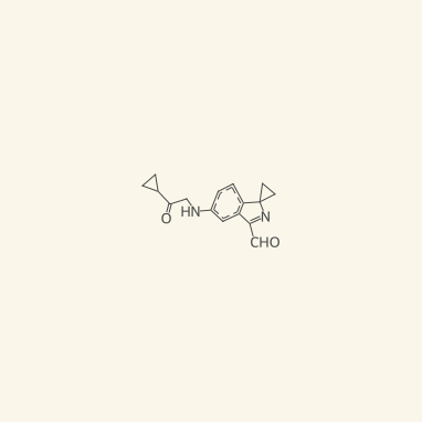 O=CC1=NC2(CC2)c2ccc(NCC(=O)C3CC3)cc21